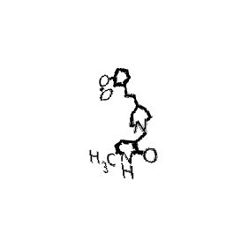 Cc1ccc(CN2CCC(CCc3cccc4c3OCO4)CC2)c(=O)[nH]1